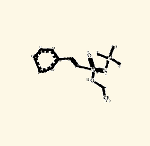 C[Si](C)(C)N=S(=O)(/C=C/c1ccccc1)OCC(F)(F)F